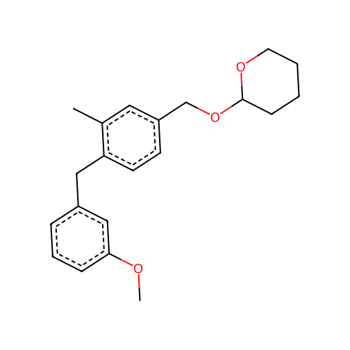 COc1cccc(Cc2ccc(COC3CCCCO3)cc2C)c1